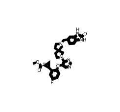 COC(=O)[C@@H]1CC1c1cc(F)ccc1Oc1cncnc1N1CCC2(CCN(Cc3ccc4[nH]c(=O)[nH]c4c3)C2)C1